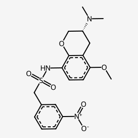 COc1ccc(NS(=O)(=O)Cc2cccc([N+](=O)[O-])c2)c2c1C[C@@H](N(C)C)CO2